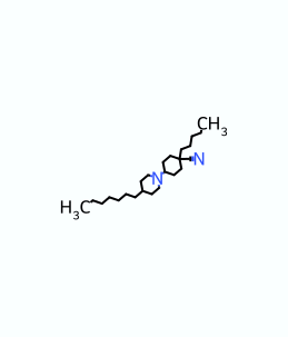 CCCCCCCC1CCN(C2CCC(C#N)(CCCCC)CC2)CC1